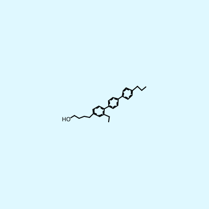 CCCc1ccc(-c2ccc(-c3ccc(CCCCO)cc3CC)cc2)cc1